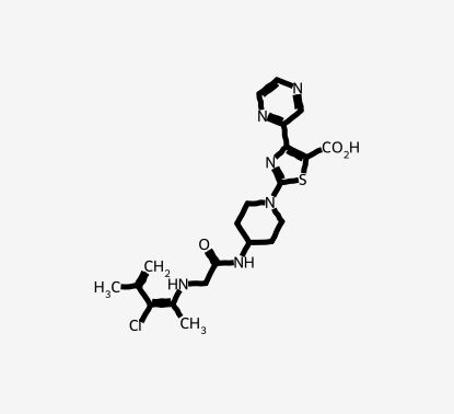 C=C(C)/C(Cl)=C(/C)NCC(=O)NC1CCN(c2nc(-c3cnccn3)c(C(=O)O)s2)CC1